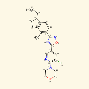 Cc1c(-c2noc(-c3cnc(N4CCOCC4)c(Cl)c3)n2)ccc2c1CCC2CC(=O)O